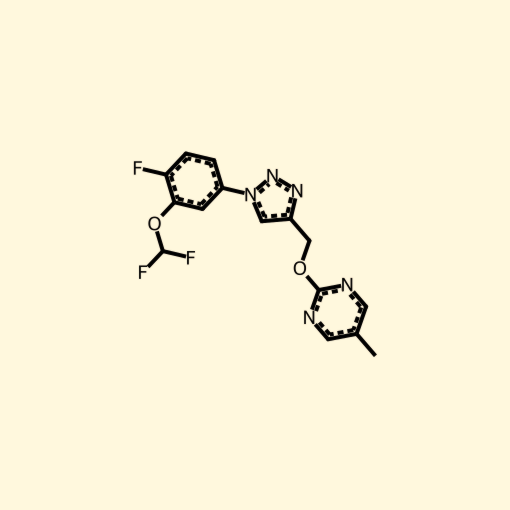 Cc1cnc(OCc2cn(-c3ccc(F)c(OC(F)F)c3)nn2)nc1